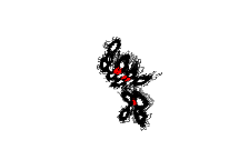 C1=CC2Oc3c(-c4ccc(-c5ccc(N(c6ccc(-c7ccccc7-n7c8ccccc8c8ccccc87)cc6)c6ccccc6-c6ccc(-c7ccccc7)cc6)cc5)cc4)cccc3C2C=C1